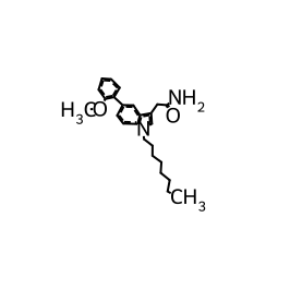 CCCCCCCCn1cc(CC(N)=O)c2cc(-c3ccccc3OC)ccc21